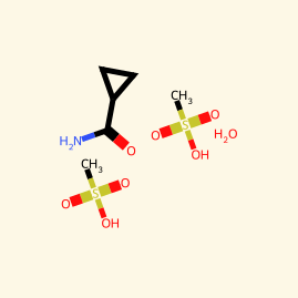 CS(=O)(=O)O.CS(=O)(=O)O.NC(=O)C1CC1.O